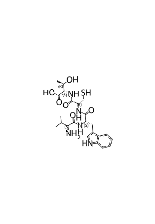 CC(C)[C@H](N)C(=O)N[C@@H](Cc1c[nH]c2ccccc12)C(=O)N[C@@H](CS)C(=O)N[C@H](C(=O)O)[C@@H](C)O